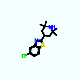 CC1(C)CC(c2nc3cc(Cl)ccc3s2)CC(C)(C)N1